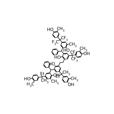 CCC(C)(c1ccc(O)c(C)c1)c1cc(C)c(O)c(C(c2ccccc2)c2cc(C(C)(CC)c3ccc(O)c(C)c3)cc(CCc3cc(C(c4ccc(O)c(C)c4)(C(F)(F)F)C(F)(F)F)cc(C(c4ccccc4)c4cc(C(c5ccc(O)c(C)c5)(C(F)(F)F)C(F)(F)F)cc(C)c4O)c3O)c2O)c1